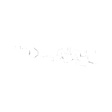 CC(=O)Nc1ccc(COCC2CC[C@H]3[C@@H]4CC[C@H]5N(C)C(=O)CC[C@]5(C)[C@H]4CC[C@]23C)cc1